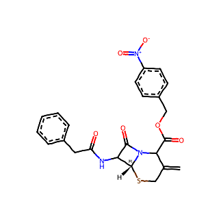 C=C1CS[C@@H]2C(NC(=O)Cc3ccccc3)C(=O)N2C1C(=O)OCc1ccc([N+](=O)[O-])cc1